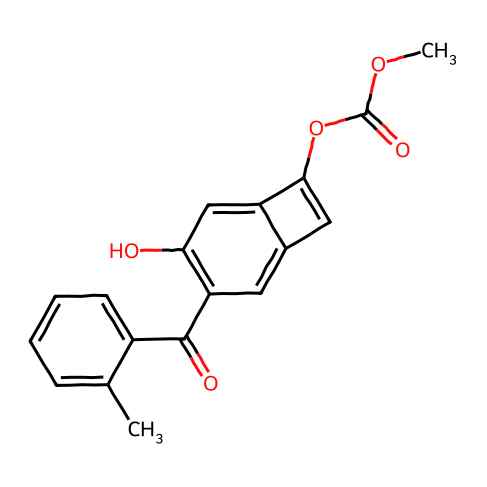 COC(=O)OC1=Cc2cc(C(=O)c3ccccc3C)c(O)cc21